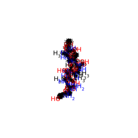 CC(C)C[C@H](NC(=O)[C@H](CCC(=O)O)NC(=O)[C@H](CC(=O)O)NC(=O)[C@H](CCC(=O)O)NC(=O)[C@H](C)NC(=O)CNC(=O)[C@H](CC(N)=O)NC(=O)[C@@H]1CCCN1C(=O)[C@@H](N)Cc1ccc(O)cc1)C(=O)N[C@@H](C)C(=O)N[C@@H](CCC(=O)O)C(=O)N[C@@H](C)C(=O)N[C@@H](Cc1ccccc1)C(=O)N1CCC[C@H]1C(=O)N[C@@H](CC(C)C)C(=O)N[C@@H](CCC(=O)O)C(=O)N[C@@H](Cc1ccccc1)C(=O)O